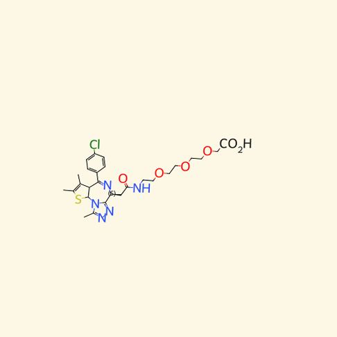 CC1=C(C)C2C(c3ccc(Cl)cc3)=N[C@@H](CC(=O)NCCOCCOCCOCC(=O)O)c3nnc(C)n3C2S1